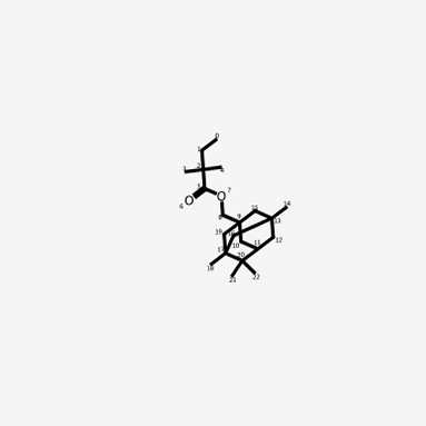 CCC(C)(C)C(=O)OCC12CC3CC(C)(C1)CC(C)(C2)C3(C)C